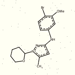 COc1cc(Nc2cc(C)n(C3CCCCO3)n2)ccc1Br